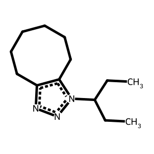 CCC(CC)n1nnc2c1CCCCCC2